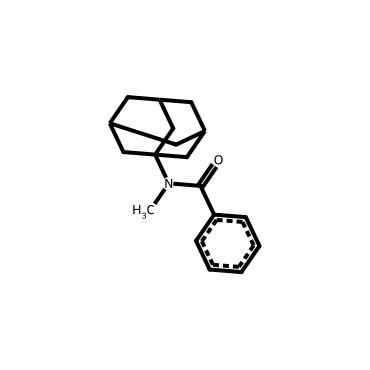 CN(C(=O)c1ccccc1)C12CC3CC(CC(C3)C1)C2